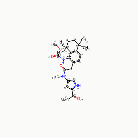 CCCN(C(=O)Cc1ccc2c(c1NC(=O)OC(C)(C)C)C(C)(C)CCC2(C)C)c1c[nH]c(C(=O)OC)c1